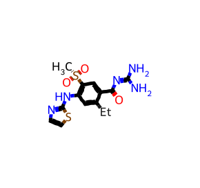 CCc1cc(Nc2nccs2)c(S(C)(=O)=O)cc1C(=O)N=C(N)N